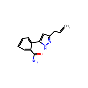 C=CCc1cc(-c2ccccc2C(N)=O)[nH]n1